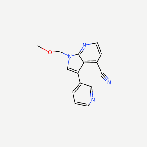 COCn1cc(-c2cccnc2)c2c(C#N)ccnc21